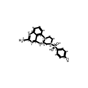 Nc1nc(N)c2c(N3CCN(S(=O)(=O)c4ccc(Cl)cc4)CC3)cccc2n1